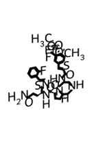 CCOP(=O)(OCC)C(F)(F)c1ccc2sc(C(=O)N[C@H]3CNCC[C@H]4CC[C@@H](C(=O)N[C@@H](CCC(N)=O)c5ncc(-c6ccccc6F)s5)N4C3=O)cc2c1